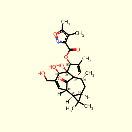 CC1=C[C@]23C(=O)[C@@H](C=C(CO)[C@@H](O)[C@]2(O)[C@H]1OC(=O)c1noc(C)c1C)[C@H]1[C@@H](C[C@H]3C)C1(C)C